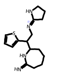 N=C1CCCCC(C(C/N=C2\CCCN2)c2cccs2)N1